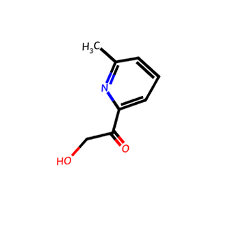 Cc1cccc(C(=O)CO)n1